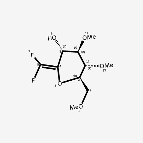 COC[C@H]1OC(=C(F)F)[C@H](O)[C@@H](OC)[C@@H]1OC